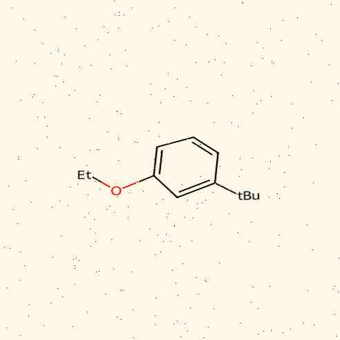 CCOc1cccc(C(C)(C)C)c1